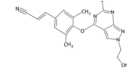 Cc1cc(/C=C/C#N)cc(C)c1Oc1nc(Cl)nc2nn(CCO)cc12